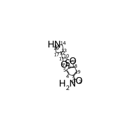 NC(=O)c1ccc(S(=O)(=O)CCC2CCNCC2)cc1